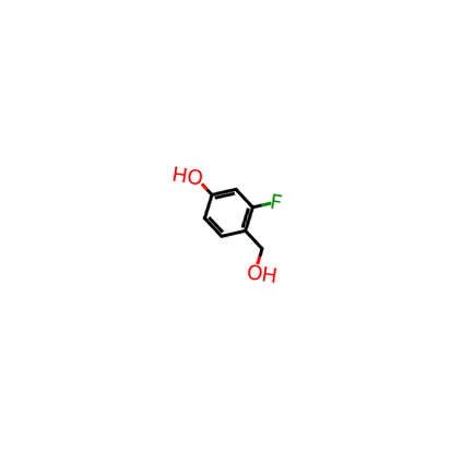 OCc1ccc(O)cc1F